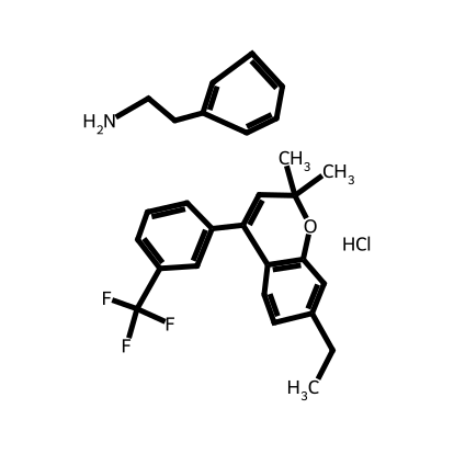 CCc1ccc2c(c1)OC(C)(C)C=C2c1cccc(C(F)(F)F)c1.Cl.NCCc1ccccc1